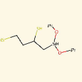 CC(C)O[SiH](CC(S)CCS)OC(C)C